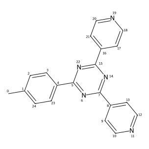 Cc1ccc(-c2nc(-c3ccncc3)nc(-c3ccncc3)n2)cc1